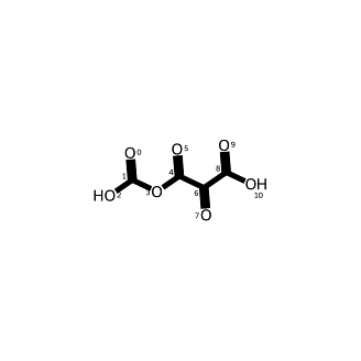 O=C(O)OC(=O)C(=O)C(=O)O